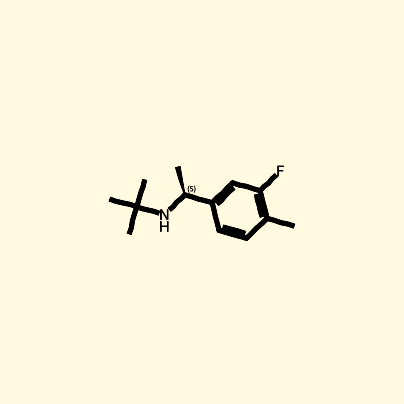 Cc1ccc([C@H](C)NC(C)(C)C)cc1F